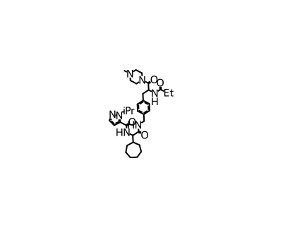 CCC(=O)NC(Cc1ccc(CNC(=O)C(NC(=O)c2ccnn2C(C)C)C2CCCCCC2)cc1)C(=O)N1CCN(C)CC1